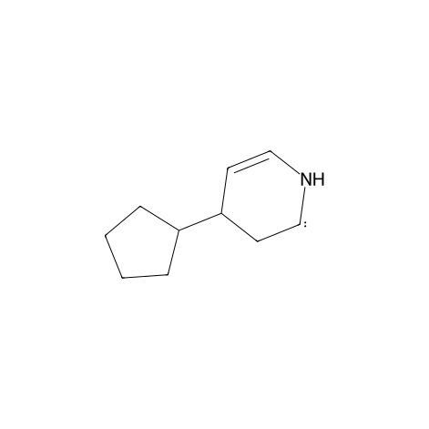 [C]1CC(C2CCCC2)C=CN1